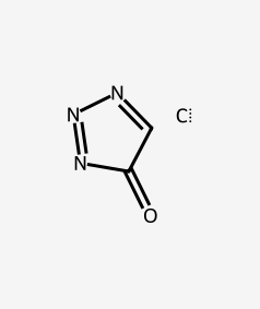 O=C1C=NN=N1.[C]